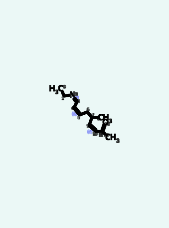 CC/N=C\C=C/CC(C)/C=C\C(C)=O